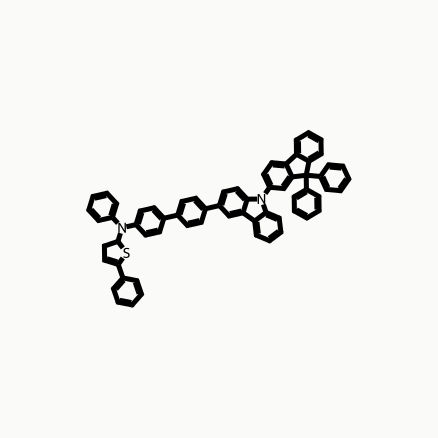 C1=C(c2ccccc2)SC(N(c2ccccc2)c2ccc(-c3ccc(-c4ccc5c(c4)c4ccccc4n5-c4ccc5c(c4)C(c4ccccc4)(c4ccccc4)c4ccccc4-5)cc3)cc2)C1